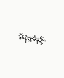 COc1cc(Nc2cncc(-c3ccc(NC(=O)NC4=CC=CCC4=S)cc3)n2)cc(OC)c1OC